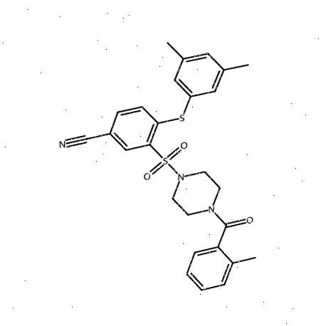 Cc1cc(C)cc(Sc2ccc(C#N)cc2S(=O)(=O)N2CCN(C(=O)c3ccccc3C)CC2)c1